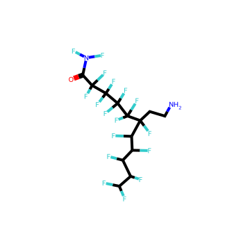 NCCC(F)(C(F)C(F)C(F)C(F)C(F)F)C(F)(F)C(F)(F)C(F)(F)C(F)(F)C(=O)N(F)F